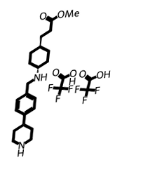 COC(=O)CC[C@H]1CC[C@H](NCc2ccc(C3CCNCC3)cc2)CC1.O=C(O)C(F)(F)F.O=C(O)C(F)(F)F